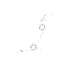 CCCCON=Cc1ccc(CCCCOc2c(Cl)cc(OCC=C(Cl)Cl)cc2Cl)cc1